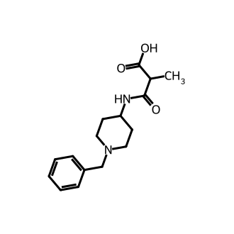 CC(C(=O)O)C(=O)NC1CCN(Cc2ccccc2)CC1